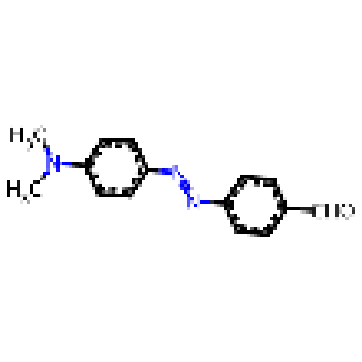 CN(C)c1ccc(/N=N/c2ccc(C=O)cc2)cc1